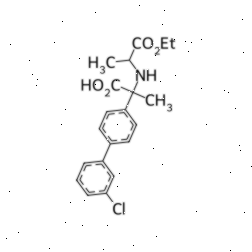 CCOC(=O)C(C)NC(C)(C(=O)O)c1ccc(-c2cccc(Cl)c2)cc1